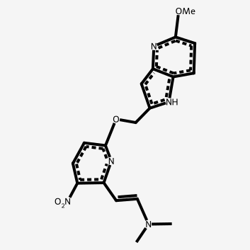 COc1ccc2[nH]c(COc3ccc([N+](=O)[O-])c(C=CN(C)C)n3)cc2n1